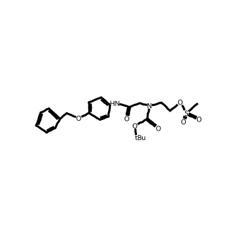 CC(C)(C)OC(=O)N(CCOS(C)(=O)=O)CC(=O)Nc1ccc(OCc2ccccc2)cc1